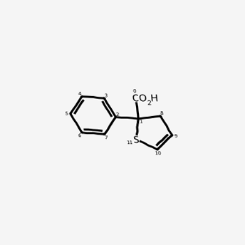 O=C(O)C1(c2ccccc2)CC=CS1